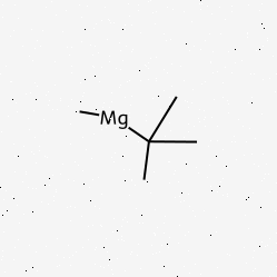 [CH3][Mg][C](C)(C)C